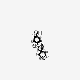 N#CC1(CS(=O)(=O)c2ccc(O)cc2)CCOCC1